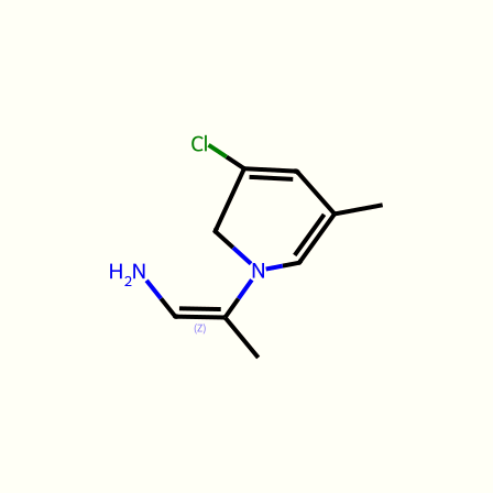 CC1=CN(/C(C)=C\N)CC(Cl)=C1